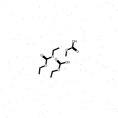 CCOC(=O)O.CCOC(=O)OCC.COC(=O)O